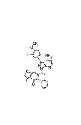 Cc1csc2cc(C(C)n3nc(-c4ccc(OC(F)(F)F)c(F)c4)c4c(N)ncnc43)c(-c3ccccc3)c(=O)n12